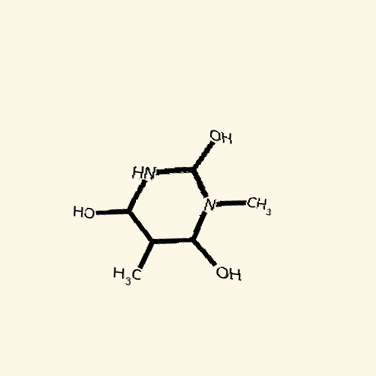 CC1C(O)NC(O)N(C)C1O